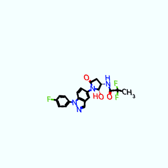 CC(F)(F)C(=O)N[C@H]1CC(=O)N(c2ccc3c(cnn3-c3ccc(F)cc3)c2)[C@H]1O